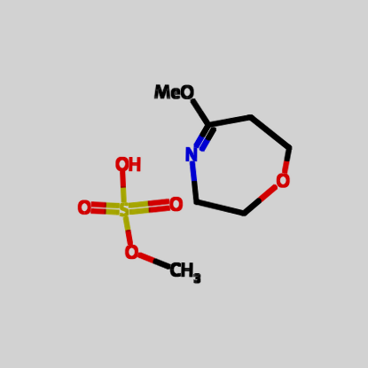 COC1=NCCOCC1.COS(=O)(=O)O